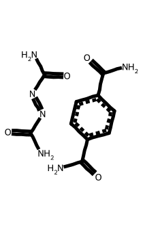 NC(=O)N=NC(N)=O.NC(=O)c1ccc(C(N)=O)cc1